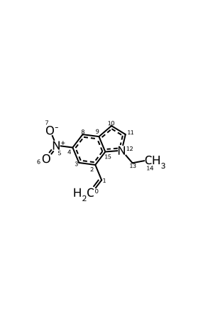 C=Cc1cc([N+](=O)[O-])cc2ccn(CC)c12